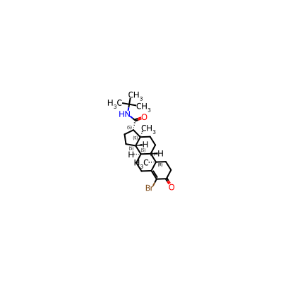 CC(C)(C)NC(=O)[C@H]1CC[C@H]2[C@@H]3CCC4=C(Br)C(=O)CC[C@]4(C)[C@H]3CC[C@]12C